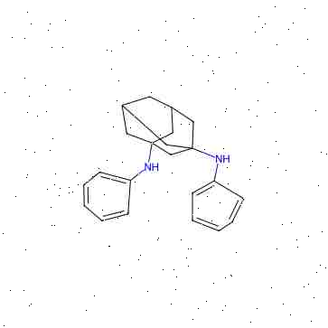 c1ccc(NC23CC4CC(C2)CC(Nc2ccccc2)(C4)C3)cc1